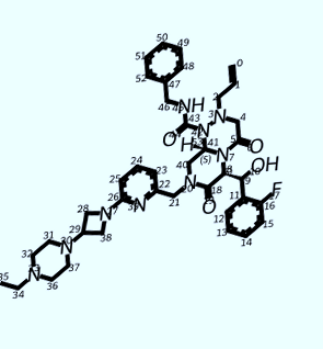 C=CCN1CC(=O)N2[C@@H](C(O)c3ccccc3F)C(=O)N(Cc3cccc(N4CC(N5CCN(CC)CC5)C4)n3)C[C@@H]2N1C(=O)NCc1ccccc1